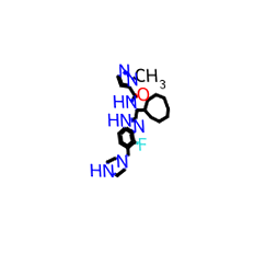 Cn1nccc1C(=O)NC(c1nc2c(F)c(CN3CCNCC3)ccc2[nH]1)C1CCCCCCC1